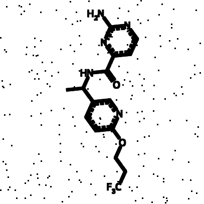 CC(NC(=O)c1ccnc(N)n1)c1ccc(OCCC(F)(F)F)nc1